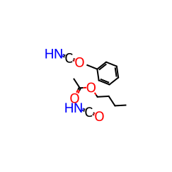 CCCCOC(C)=O.Cc1ccccc1.N=C=O.N=C=O